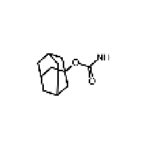 [NH]C(=O)OC12CC3CC(CC(C3)C1)C2